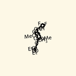 CCOP(=O)(CCCOCCC1(C)C(=O)c2c(OC)c(=O)c(C(=O)NCc3ccc(F)cc3F)cn2CC1OC)OCC